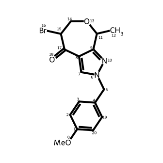 COc1ccc(Cn2cc3c(n2)C(C)OCC(Br)C3=O)cc1